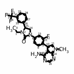 CCN1C(=O)N(c2ccc(-c3cn(C)c4ncnc(N)c34)c(F)c2)CC1c1cccc(C(F)(F)F)c1